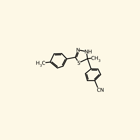 Cc1ccc(C2=NNC(C)(c3ccc(C#N)cc3)S2)cc1